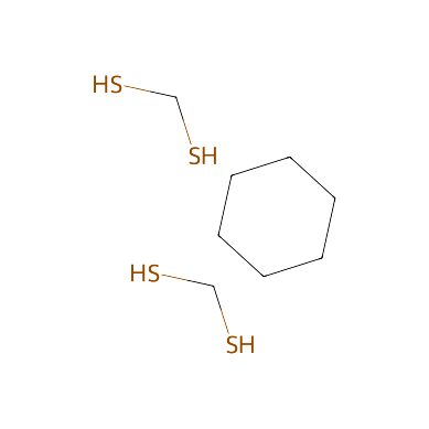 C1CCCCC1.SCS.SCS